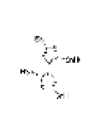 [SnH][c]1cc(-c2c[c]([SnH])s[c]2[SnH])[c]([SnH])s1